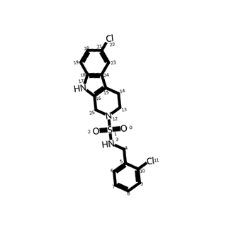 O=S(=O)(NCc1ccccc1Cl)N1CCc2c([nH]c3ccc(Cl)cc23)C1